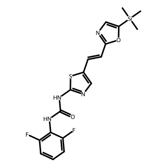 C[Si](C)(C)c1cnc(/C=C/c2cnc(NC(=O)Nc3c(F)cccc3F)s2)o1